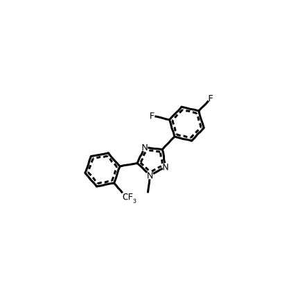 Cn1nc(-c2ccc(F)cc2F)nc1-c1ccccc1C(F)(F)F